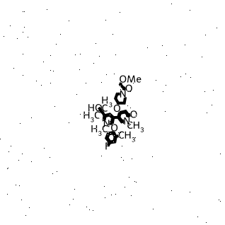 COCC(=O)N1CCC(Oc2cc(=O)n(C)cc2-c2cc(C(C)(C)O)cnc2Oc2c(C)cc(F)cc2C)CC1